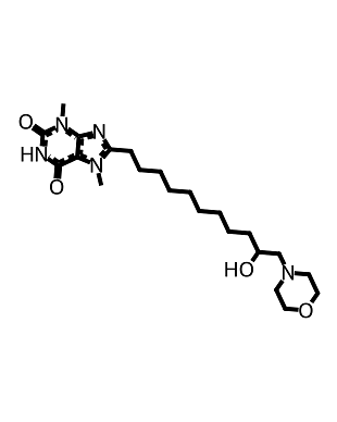 Cn1c(CCCCCCCCCC(O)CN2CCOCC2)nc2c1c(=O)[nH]c(=O)n2C